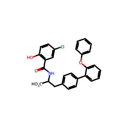 O=C(NC(Cc1ccc(-c2ccccc2Oc2ccccc2)cc1)C(=O)O)c1cc(Cl)ccc1O